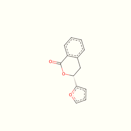 O=C1O[C@@H](c2ccco2)Cc2ccccc21